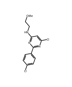 COCCNc1cc(Cl)nc(-c2ccc(Cl)cc2)n1